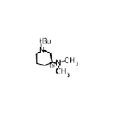 CN(C)[C@H]1CCCN(C(C)(C)C)C1